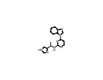 CC(Nc1nccc(-n2cnc3ccccc32)n1)c1c[nH]cn1